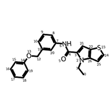 CCn1c(C(=O)Nc2cccc(COc3ccccc3)c2)cc2sccc21